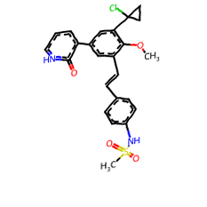 COc1c(C=Cc2ccc(NS(C)(=O)=O)cc2)cc(-c2ccc[nH]c2=O)cc1C1(Cl)CC1